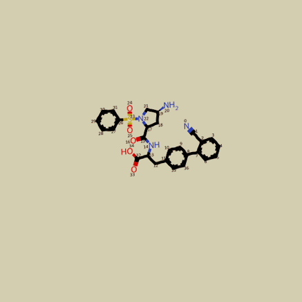 N#Cc1ccccc1-c1ccc(CC(NC(=O)C2C[C@H](N)CN2S(=O)(=O)c2ccccc2)C(=O)O)cc1